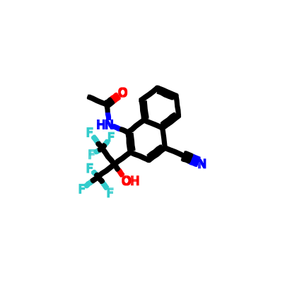 CC(=O)Nc1c(C(O)(C(F)(F)F)C(F)(F)F)cc(C#N)c2ccccc12